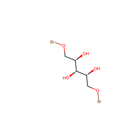 O[C@@H]([C@H](O)COBr)[C@@H](O)COBr